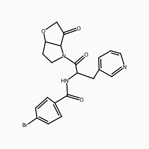 O=C(NC(Cc1cccnc1)C(=O)N1CCC2OCC(=O)C21)c1ccc(Br)cc1